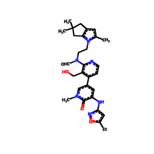 CCc1cc(Nc2cc(-c3ccnc(N(C=O)CCn4c(C)cc5c4CC(C)(C)C5)c3CO)cn(C)c2=O)no1